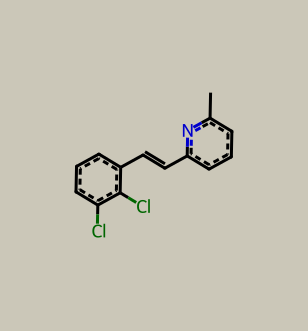 Cc1cccc(C=Cc2cccc(Cl)c2Cl)n1